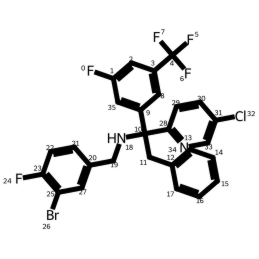 Fc1cc(C(F)(F)F)cc(C(Cc2ccccc2)(NCc2ccc(F)c(Br)c2)c2ccc(Cl)cn2)c1